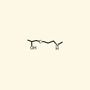 CNCCCCCC(C)O